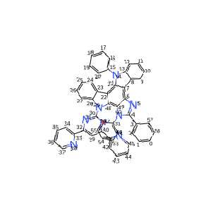 c1ccc(-c2nc3c4c5ccccc5n(-c5ccccc5)c4c4c5ccccc5n(-c5nc(-c6ccccn6)cc(-c6ccccn6)n5)c4c3n2-c2ccccc2)cc1